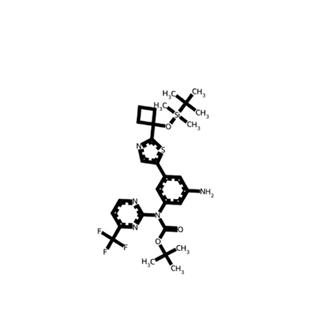 CC(C)(C)OC(=O)N(c1cc(N)cc(-c2cnc(C3(O[Si](C)(C)C(C)(C)C)CCC3)s2)c1)c1nccc(C(F)(F)F)n1